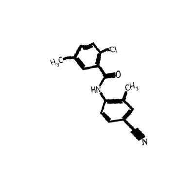 Cc1ccc(Cl)c(C(=O)Nc2ccc(C#N)cc2C)c1